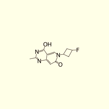 Cc1nc(O)c2cn(C3CC(F)C3)c(=O)cc2n1